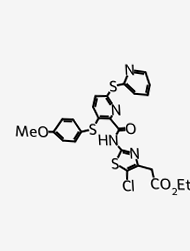 CCOC(=O)Cc1nc(NC(=O)c2nc(Sc3ccccn3)ccc2Sc2ccc(OC)cc2)sc1Cl